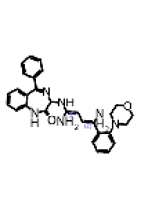 N/C(=C\C=C(/N)NC1N=C(c2ccccc2)c2ccccc2NC1=O)c1ccccc1N1CCOCC1